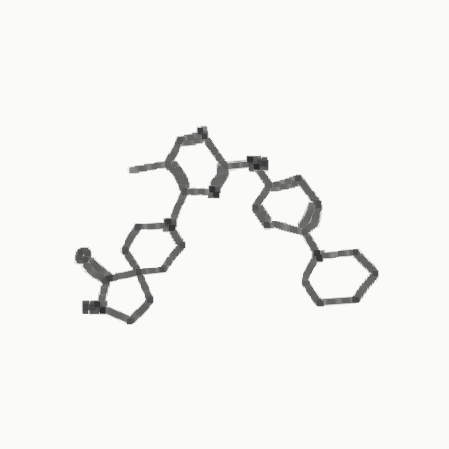 Cc1cnc(Nc2ccc(N3CCCCC3)cc2)nc1N1CCC2(CCNC2=O)CC1